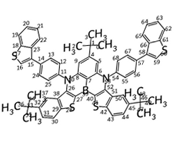 CC(C)(C)c1cc2c3c(c1)N(c1ccc(-c4csc5ccccc45)cc1)c1c(sc4ccc(C(C)(C)C)cc14)B3c1sc3ccc(C(C)(C)C)cc3c1N2c1ccc(-c2csc3ccccc23)cc1